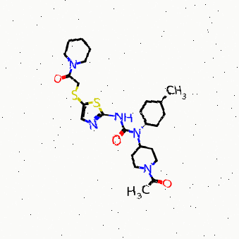 CC(=O)N1CCC(N(C(=O)Nc2ncc(SCC(=O)N3CCCCC3)s2)[C@H]2CC[C@H](C)CC2)CC1